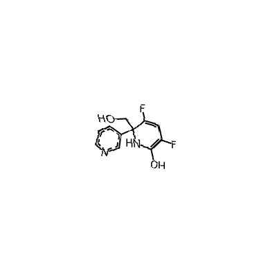 OCC1(c2cccnc2)NC(O)=C(F)C=C1F